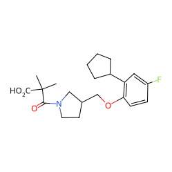 CC(C)(C(=O)O)C(=O)N1CCC(COc2ccc(F)cc2C2CCCC2)C1